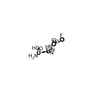 N[C@H]1C[C@H](C#Cc2cc3ncnc(Nc4ccc(OCc5cccc(F)c5)c(Cl)c4)c3s2)N(C(=O)O)C1